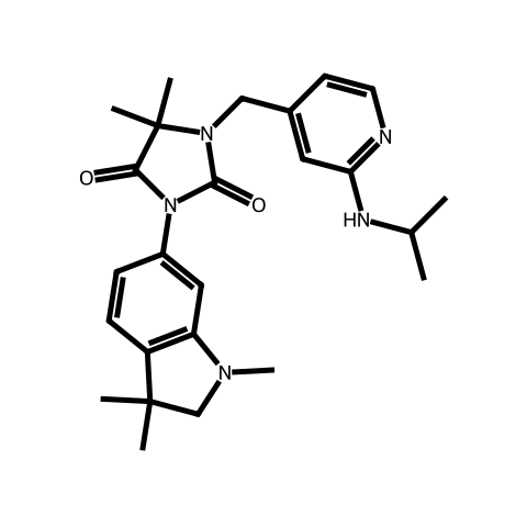 CC(C)Nc1cc(CN2C(=O)N(c3ccc4c(c3)N(C)CC4(C)C)C(=O)C2(C)C)ccn1